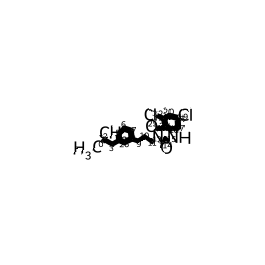 CC(C)Cc1cccc(CCCn2c(=O)[nH]c3cc(Cl)cc(Cl)c3c2=O)c1